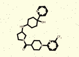 O=C(C1CCN(c2cccc(C(F)(F)F)n2)CC1)N1CCC(NC2CCC(O)(c3ccccn3)CC2)C1